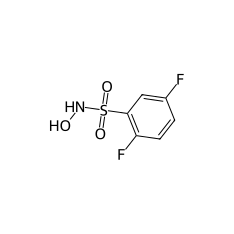 O=S(=O)(NO)c1cc(F)ccc1F